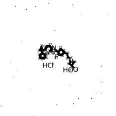 Cl.O=C(O)C1CN(CCCc2ccc(-c3nc4ccc(C5(c6ccccc6)C=C5)nc4s3)c(F)c2)C1